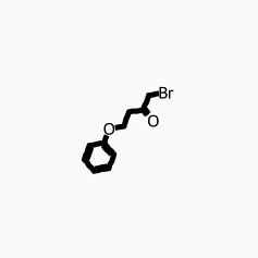 O=C(CBr)CCOc1ccccc1